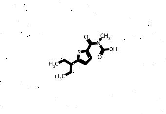 CCC(CC)c1ccc(C(=O)N(C)C(=O)O)s1